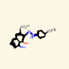 Nc1cccc2cc(S(=O)(=O)O)c(N=Nc3ccc(S(=O)(=O)O)cc3)c(O)c12